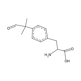 CC(C)(C=O)c1ccc(CC(N)C(=O)O)cc1